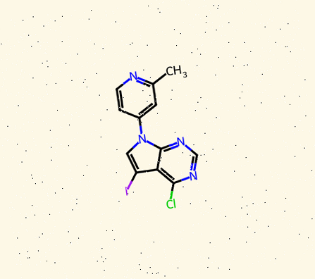 Cc1cc(-n2cc(I)c3c(Cl)ncnc32)ccn1